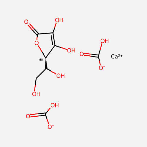 O=C([O-])O.O=C([O-])O.O=C1O[C@H](C(O)CO)C(O)=C1O.[Ca+2]